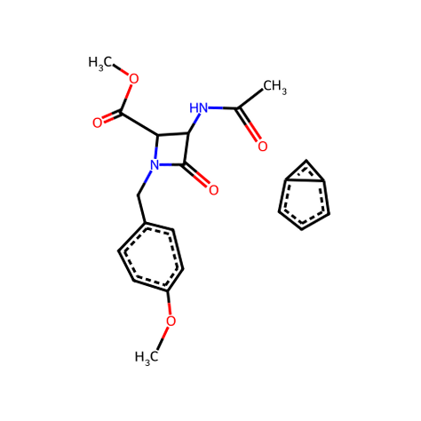 COC(=O)C1C(NC(C)=O)C(=O)N1Cc1ccc(OC)cc1.c1cc2cc-2c1